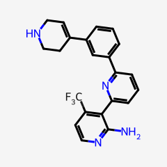 Nc1nccc(C(F)(F)F)c1-c1cccc(-c2cccc(C3=CCNCC3)c2)n1